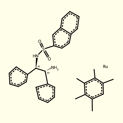 Cc1cc(C)c(C)c(C)c1C.N[C@H](c1ccccc1)[C@H](NS(=O)(=O)c1ccc2ccccc2c1)c1ccccc1.[Ru]